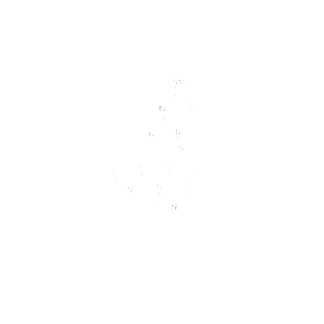 CNC(=O)Nc1nnc(-c2ccncc2F)c(-c2cccnc2)n1